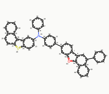 c1ccc(-c2cc3c4ccc(-c5ccc(N(c6ccccc6)c6ccc7sc8ccc9ccccc9c8c7c6)cc5)cc4oc3c3ccccc23)cc1